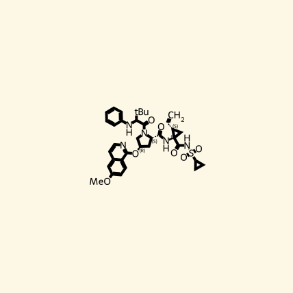 C=C[C@@H]1C[C@]1(NC(=O)[C@@H]1C[C@@H](Oc2nccc3cc(OC)ccc23)CN1C(=O)C(Nc1ccccc1)C(C)(C)C)C(=O)NS(=O)(=O)C1CC1